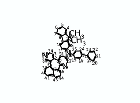 CC1(C)c2ccccc2-c2ccc(N(c3ccc(-c4ccccc4)cc3)c3cnc4c(c3)-c3ccncc3-c3cccc5cccc-4c35)cc21